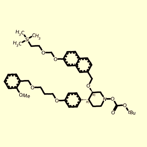 COc1ccccc1COCCCOc1ccc([C@H]2CCN(OC(=O)OC(C)(C)C)C[C@@H]2OCc2ccc3ccc(OCOCC[Si](C)(C)C)cc3c2)cc1